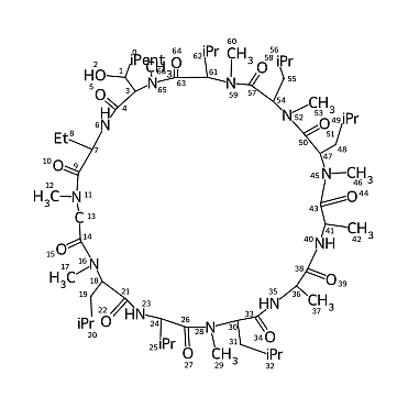 CCCC(C)C(O)C1C(=O)NC(CC)C(=O)N(C)CC(=O)N(C)C(CC(C)C)C(=O)NC(C(C)C)C(=O)N(C)C(CC(C)C)C(=O)NC(C)C(=O)NC(C)C(=O)N(C)C(CC(C)C)C(=O)N(C)C(CC(C)C)C(=O)N(C)C(C(C)C)C(=O)N1C